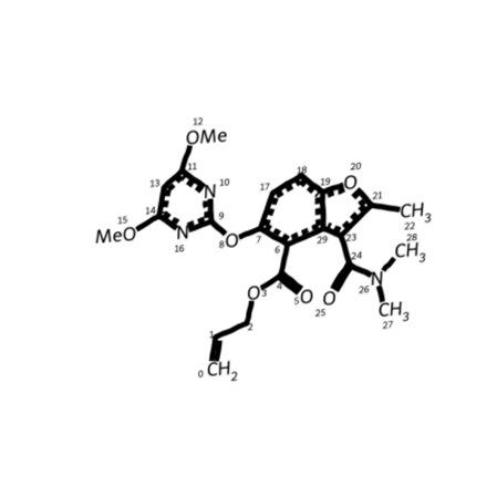 C=CCOC(=O)c1c(Oc2nc(OC)cc(OC)n2)ccc2oc(C)c(C(=O)N(C)C)c12